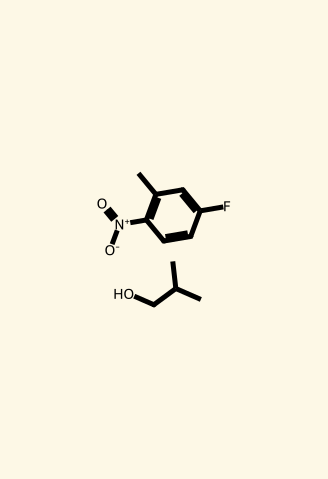 CC(C)CO.Cc1cc(F)ccc1[N+](=O)[O-]